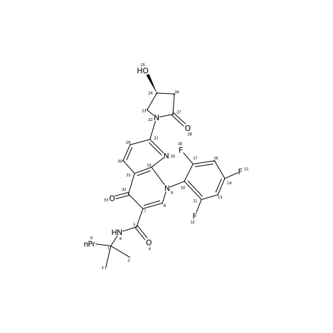 CCCC(C)(C)NC(=O)c1cn(-c2c(F)cc(F)cc2F)c2nc(N3C[C@@H](O)CC3=O)ccc2c1=O